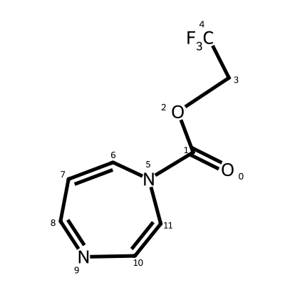 O=C(OCC(F)(F)F)N1C=CC=NC=C1